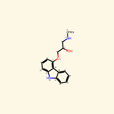 CCCCCCNCC(O)COc1cccc2[nH]c3ccccc3c12